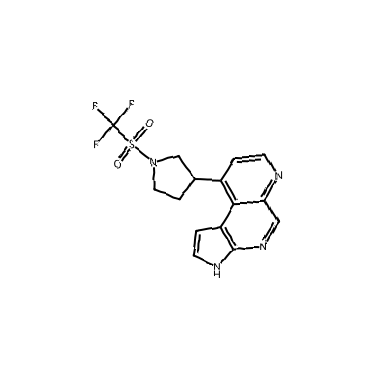 O=S(=O)(N1CCC(c2ccnc3cnc4[nH]ccc4c23)C1)C(F)(F)F